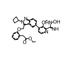 CCOC(=O)Cc1ccccc1OCc1c2cc(-c3ccnc(C(=N)NO)c3OC)ccc2nn1C1CCC1